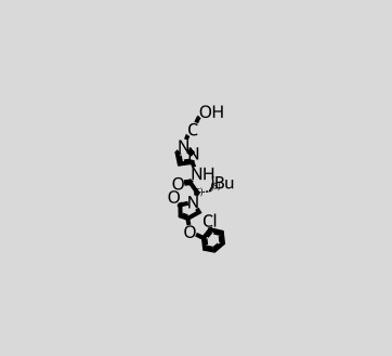 CC[C@H](C)C[C@@H](C(=O)Nc1ccn(CCCO)n1)N1CC(Oc2ccccc2Cl)=CC1=O